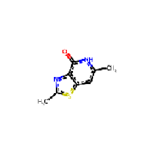 Cc1cc2sc(C)nc2c(=O)[nH]1